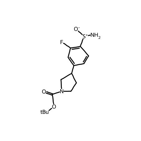 CC(C)(C)OC(=O)N1CCC(c2ccc([S+](N)[O-])c(F)c2)C1